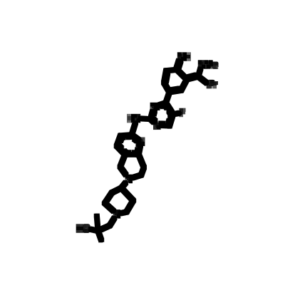 CN/C(=C1/C=C(c2nc(Nc3ccc4c(n3)CCN(C3CCN(CC(C)(C)O)CC3)C4)ncc2F)C=CC1=N)C(C)C